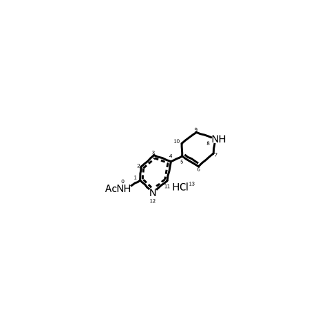 CC(=O)Nc1ccc(C2=CCNCC2)cn1.Cl